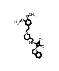 COc1ccc(CCN2CCCC(CNc3c(N4CCc5ccccc54)c(=O)c3=O)C2)cc1OC